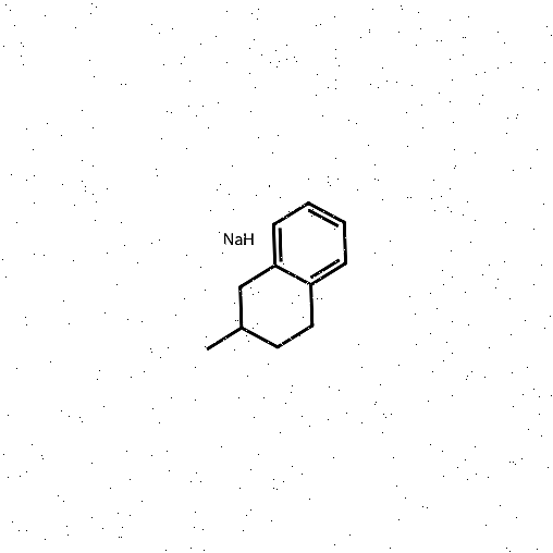 CC1CCc2ccccc2C1.[NaH]